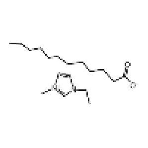 CCCCCCCCCCCC(=O)[O-].CCn1cc[n+](C)c1